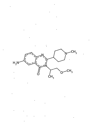 COCC(C)n1c(C2CCN(C)CC2)nc2ccc(N)cc2c1=O